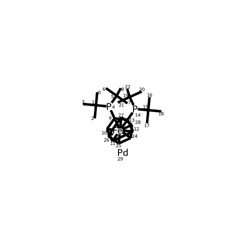 CC(C)(C)P(C(C)(C)C)[C]12[CH]3[CH]4[CH]5[C]1(P(C(C)(C)C)C(C)(C)C)[Fe]43521678[CH]2[CH]1[CH]6[CH]7[CH]28.[Pd]